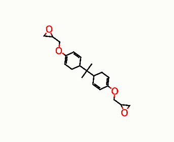 CC(C)(C1C=CC(OCC2CO2)=CC1)C1C=CC(OCC2CO2)=CC1